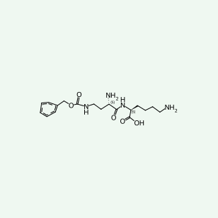 NCCCC[C@H](NC(=O)[C@@H](N)CCNC(=O)OCc1ccccc1)C(=O)O